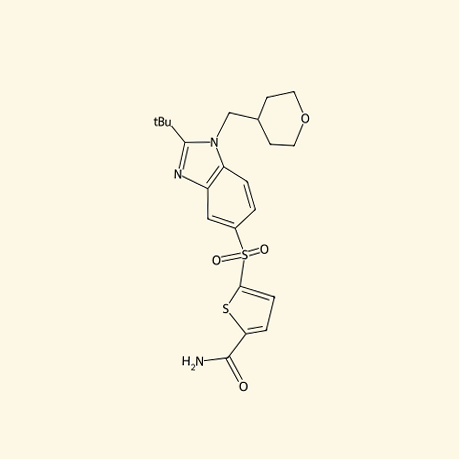 CC(C)(C)c1nc2cc(S(=O)(=O)c3ccc(C(N)=O)s3)ccc2n1CC1CCOCC1